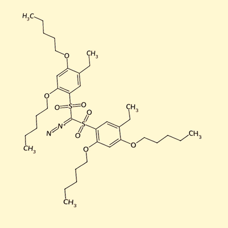 CCCCCOc1cc(OCCCCC)c(S(=O)(=O)C(=[N+]=[N-])S(=O)(=O)c2cc(CC)c(OCCCCC)cc2OCCCCC)cc1CC